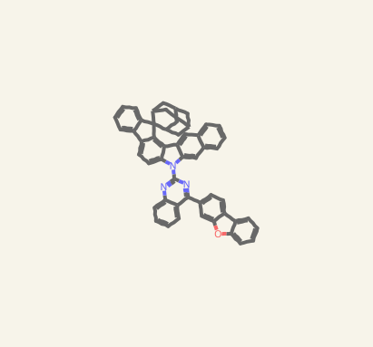 c1ccc2c(c1)-c1ccc3c(c1C21C2CC4CC(C2)CC1C4)c1cc2ccccc2cc1n3-c1nc(-c2ccc3c(c2)oc2ccccc23)c2ccccc2n1